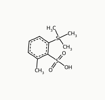 Cc1cccc([Si](C)(C)C)c1S(=O)(=O)O